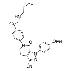 COc1ccc(-n2nc(C#N)c3c2C(=O)N(c2ccc(C4(CNCCO)CC4)cc2)CC3)cc1